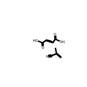 C=C(C)C#N.O=C(O)/C=C/C(=O)O